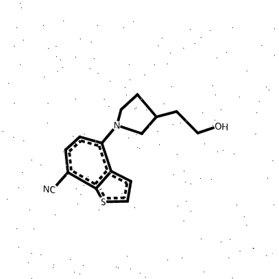 N#Cc1ccc(N2CCC(CCO)C2)c2ccsc12